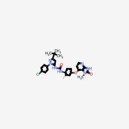 Cn1c(=O)[nH]c2nccc(Oc3ccc(NC(=O)Nc4cc(C(C)(C)C)nn4-c4ccc(Cl)cc4)c(F)c3)c21